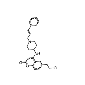 CC(C)CCc1ccc2oc(=O)cc(NC3CCN(CC=Cc4ccccc4)CC3)c2c1